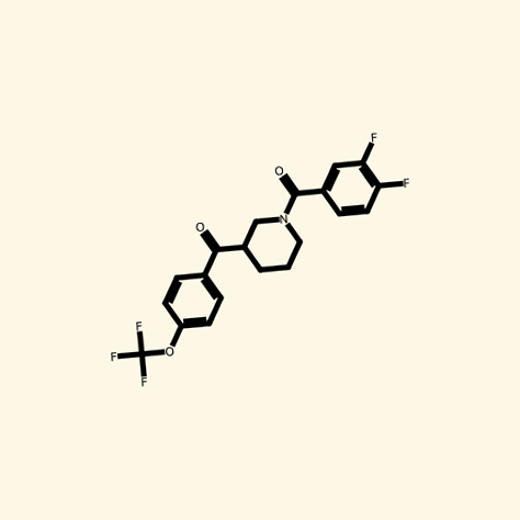 O=C(c1ccc(OC(F)(F)F)cc1)C1CCCN(C(=O)c2ccc(F)c(F)c2)C1